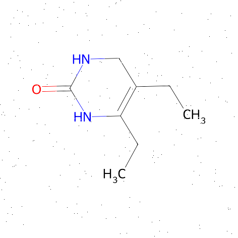 CCC1=C(CC)NC(=O)NC1